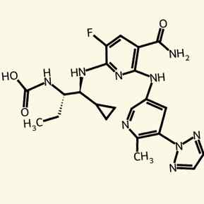 CC[C@H](NC(=O)O)[C@@H](Nc1nc(Nc2cnc(C)c(-n3nccn3)c2)c(C(N)=O)cc1F)C1CC1